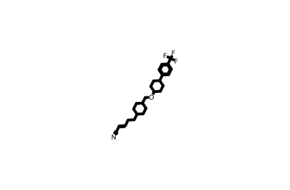 N#CC=CCCC1CCC(COC2CCC(c3ccc(C(F)(F)F)cc3)CC2)CC1